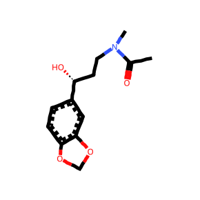 CC(=O)N(C)CC[C@@H](O)c1ccc2c(c1)OCO2